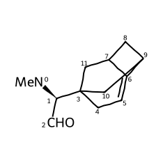 CN[C@H](C=O)C12CC=C3C(CC3C1)C2